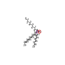 CCCCCCCCCCP(=O)(CCCCCCCC)CCCCCCCCCC